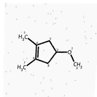 COC1CC(C)=C(C)C1